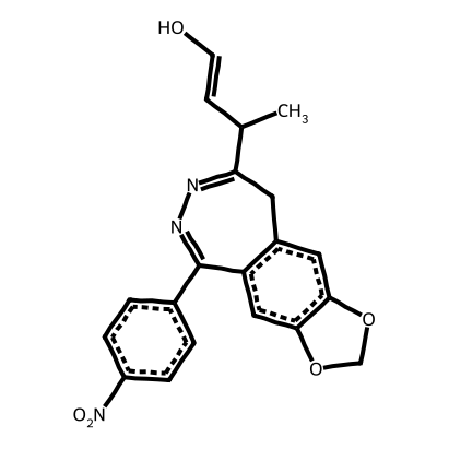 CC(C=CO)C1=NN=C(c2ccc([N+](=O)[O-])cc2)c2cc3c(cc2C1)OCO3